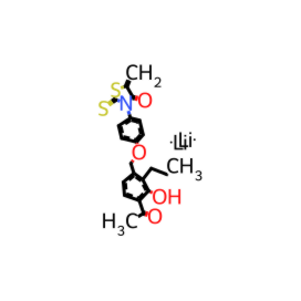 C=C1SC(=S)N(c2ccc(OCc3ccc(C(C)=O)c(O)c3CCC)cc2)C1=O.[Li].[Li]